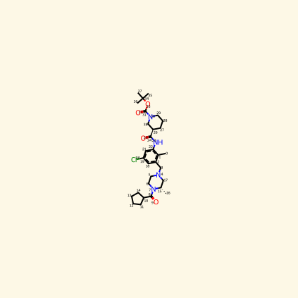 Cc1c(CN2CCN(C(=O)C3CCCC3)[C@@H](C)C2)cc(Cl)cc1NC(=O)[C@@H]1CCCN(C(=O)OC(C)(C)C)C1